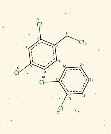 ClCc1ccc(Cl)cc1Cl.Clc1ccccc1Cl